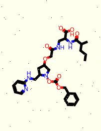 CCCC(C)C(=O)NC(CNC(=O)COC1CC(CNc2ccccn2)N(OC(=O)OCc2ccccc2)C1)C(=O)O